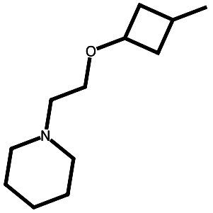 CC1CC(OCCN2CCCCC2)C1